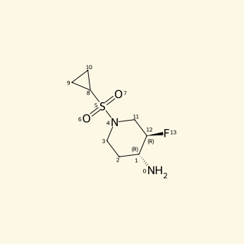 N[C@@H]1CCN(S(=O)(=O)C2CC2)C[C@H]1F